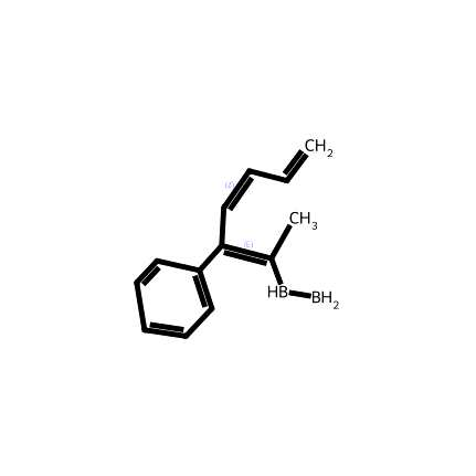 BB/C(C)=C(/C=C\C=C)c1ccccc1